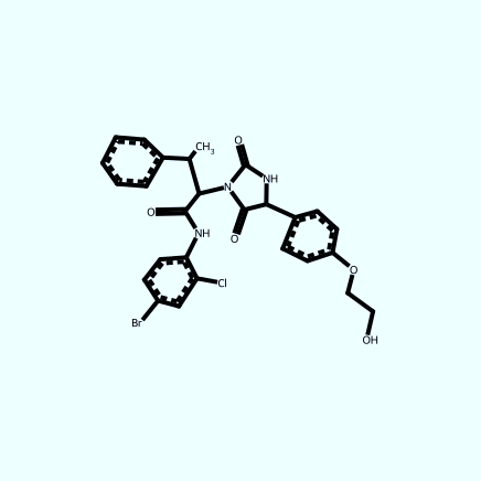 CC(c1ccccc1)C(C(=O)Nc1ccc(Br)cc1Cl)N1C(=O)NC(c2ccc(OCCO)cc2)C1=O